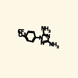 Nc1nc(N)n(-c2ccc(OC(F)(F)F)cc2)n1